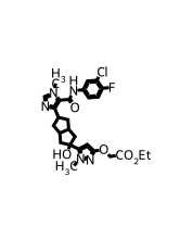 CCOC(=O)COc1cc(C2(O)CC3CC(c4ncn(C)c4C(=O)Nc4ccc(F)c(Cl)c4)CC3C2)n(C)n1